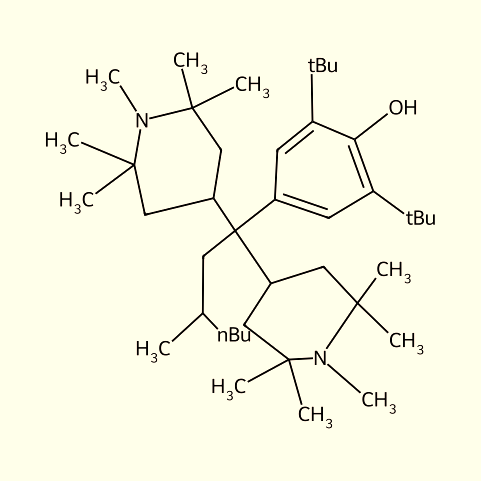 CCCCC(C)CC(c1cc(C(C)(C)C)c(O)c(C(C)(C)C)c1)(C1CC(C)(C)N(C)C(C)(C)C1)C1CC(C)(C)N(C)C(C)(C)C1